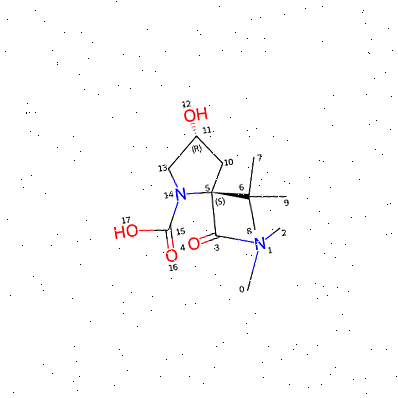 CN(C)C(=O)[C@@]1(C(C)(C)C)C[C@@H](O)CN1C(=O)O